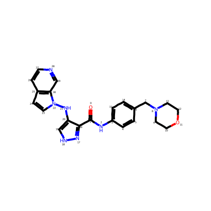 O=C(Nc1ccc(CN2CCOCC2)cc1)c1n[nH]cc1Nn1ccc2ccncc21